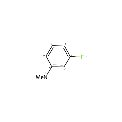 C[N]c1cccc(F)c1